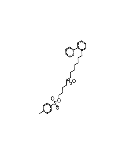 Cc1ccc(S(=O)(=O)OCCCCCCCCCCCCc2ccccc2-c2ccccc2)cc1.O